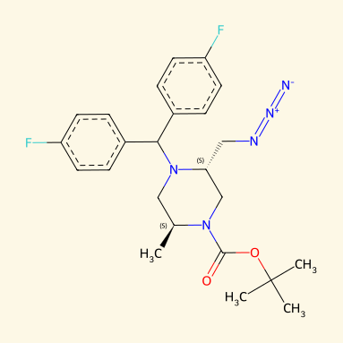 C[C@H]1CN(C(c2ccc(F)cc2)c2ccc(F)cc2)[C@H](CN=[N+]=[N-])CN1C(=O)OC(C)(C)C